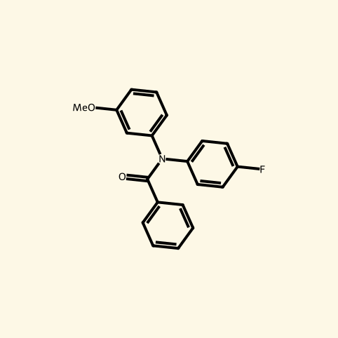 COc1cccc(N(C(=O)c2ccccc2)c2ccc(F)cc2)c1